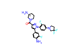 Nc1ccc(-c2cc(C(=O)N3CCC[C@@H](N)C3)nn2-c2ccc(N3CCC(F)(F)C3)cc2F)cc1F